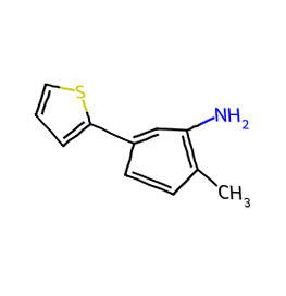 Cc1ccc(-c2cccs2)cc1N